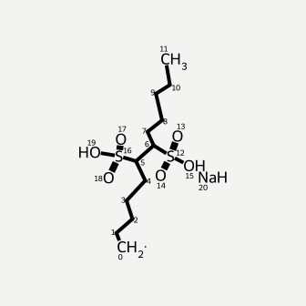 [CH2]CCCCC(C(CCCCC)S(=O)(=O)O)S(=O)(=O)O.[NaH]